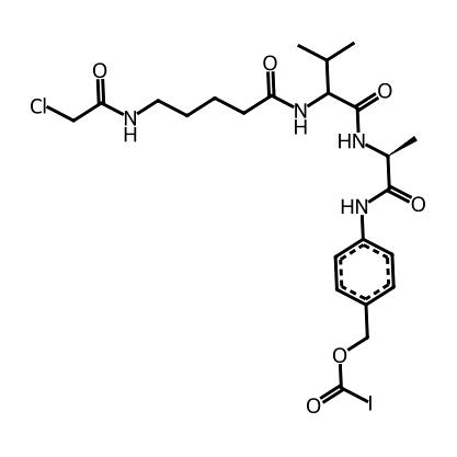 CC(C)C(NC(=O)CCCCNC(=O)CCl)C(=O)N[C@@H](C)C(=O)Nc1ccc(COC(=O)I)cc1